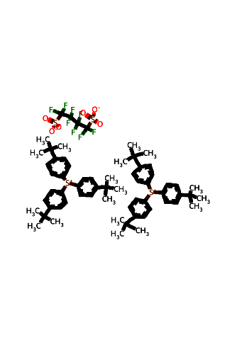 CC(C)(C)c1ccc([S+](c2ccc(C(C)(C)C)cc2)c2ccc(C(C)(C)C)cc2)cc1.CC(C)(C)c1ccc([S+](c2ccc(C(C)(C)C)cc2)c2ccc(C(C)(C)C)cc2)cc1.O=S(=O)([O-])C(F)(F)C(F)(F)C(F)(F)C(F)(F)S(=O)(=O)[O-]